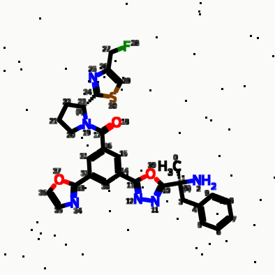 C[C@](N)(Cc1ccccc1)c1nnc(-c2cc(C(=O)N3CCC[C@@H]3c3nc(CF)cs3)cc(-c3ncco3)c2)o1